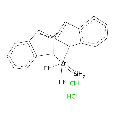 C[CH2][Zr](=[SiH2])([CH2]C)([CH]1C(C)=Cc2ccccc21)[CH]1C(C)=Cc2ccccc21.Cl.Cl